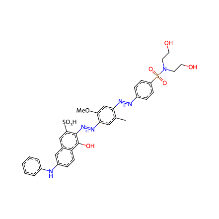 COc1cc(/N=N/c2ccc(S(=O)(=O)N(CCO)CCO)cc2)c(C)cc1/N=N/c1c(S(=O)(=O)O)cc2cc(Nc3ccccc3)ccc2c1O